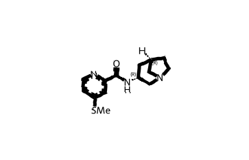 CSc1ccnc(C(=O)N[C@@H]2C[C@H]3CCN(C3)C2)c1